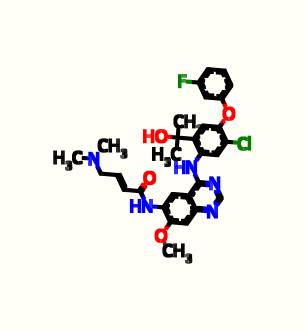 COc1cc2ncnc(Nc3cc(Cl)c(Oc4cccc(F)c4)cc3C(C)(C)O)c2cc1NC(=O)C=CCN(C)C